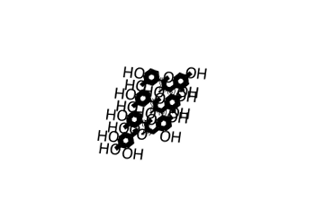 O=C(O[C@@H]1Cc2c(O)cc(O)c([C@H]3c4c(O)cc(O)c([C@H]5c6c(O)cc(O)cc6O[C@H](c6ccc(O)c(O)c6)[C@@H]5O)c4O[C@H](c4ccc(O)c(O)c4)[C@@H]3O)c2O[C@@H]1c1ccc(O)c(O)c1)c1cc(O)c(O)c(O)c1